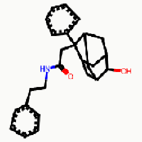 O=C(CC1(c2ccccc2)C2CC3CC1CC(C2)C3O)NCCc1ccccc1